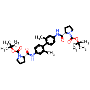 Cc1cc(NC(=O)[C@@H]2CCCN2C(=O)OC(C)(C)C)ccc1-c1ccc(NC(=O)[C@@H]2CCCN2C(=O)OC(C)(C)C)cc1C